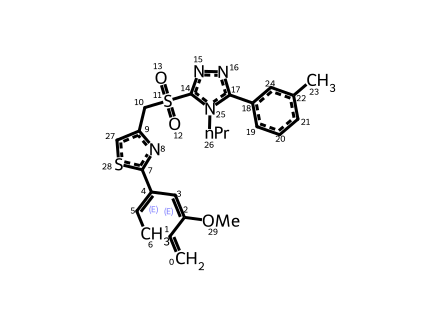 C=C/C(=C\C(=C/C)c1nc(CS(=O)(=O)c2nnc(-c3cccc(C)c3)n2CCC)cs1)OC